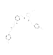 CC(=O)S[C@H]1C[C@@H](C(=O)Nc2cccc(C(=O)NCC(=O)OCc3ccc([N+](=O)[O-])cc3)c2)N(C(=O)OCc2ccc([N+](=O)[O-])cc2)C1